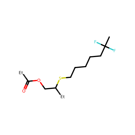 CCC(=O)OCC(CC)SCCCCCC(C)(F)F